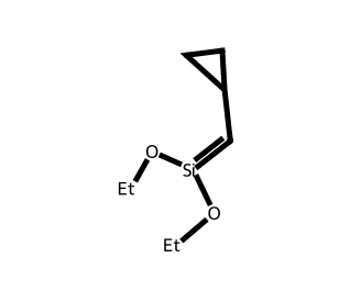 CCO[Si](=CC1CC1)OCC